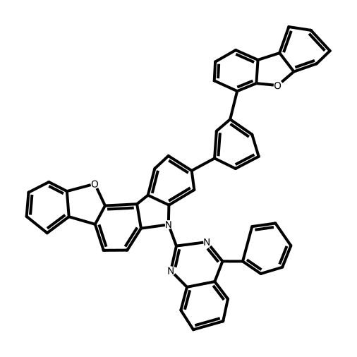 c1ccc(-c2nc(-n3c4cc(-c5cccc(-c6cccc7c6oc6ccccc67)c5)ccc4c4c5oc6ccccc6c5ccc43)nc3ccccc23)cc1